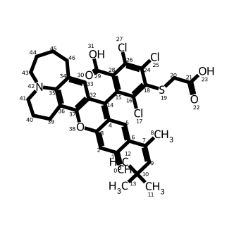 C=c1cc2c(cc1/C(C)=C\C(C)(C)C)=C(c1c(Cl)c(SCC(=O)O)c(Cl)c(Cl)c1C(=O)O)c1cc3c4c(c1O2)CCCN4CCCC3